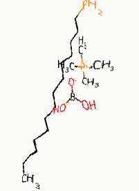 CCCCCCCCCCCCCCP.C[P+](C)(C)C.[O-]B(O)O